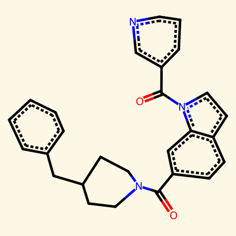 O=C(c1ccc2ccn(C(=O)c3cccnc3)c2c1)N1CCC(Cc2ccccc2)CC1